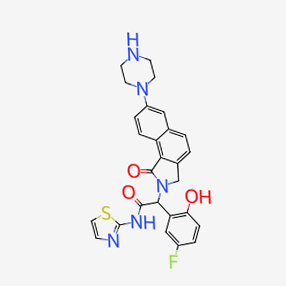 O=C(Nc1nccs1)C(c1cc(F)ccc1O)N1Cc2ccc3cc(N4CCNCC4)ccc3c2C1=O